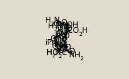 CC(C)[C@H](NC(=O)[C@H](C)NC(=O)CNC(=O)[C@H](CC(=O)O)NC(=O)[C@@H](NC(=O)[C@@H](N)CC(N)=O)[C@@H](C)O)C(=O)N[C@@H](CC(N)=O)C(=O)N[C@@H](Cc1ccccc1)C(=O)N[C@@H](CCC(N)=O)C(=O)O